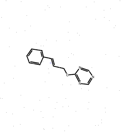 C(=C\c1ccccc1)/COc1ncncn1